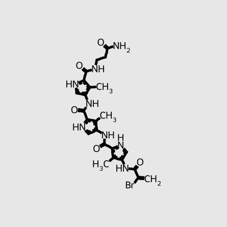 C=C(Br)C(=O)Nc1c[nH]c(C(=O)Nc2c[nH]c(C(=O)Nc3c[nH]c(C(=O)NCCC(N)=O)c3C)c2C)c1C